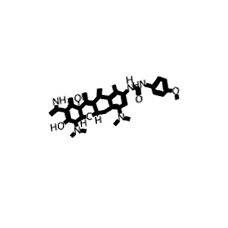 C=C(N)C1=C(O)C(N(C)C)[C@@H]2C[C@@H]3Cc4c(N(C)C)cc(NC(=O)Nc5ccc(OC)cc5)c(C)c4C(=C)C3=C(C)[C@]2(O)C1=C